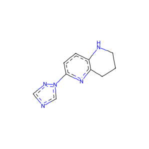 c1ncn(-c2ccc3c(n2)CCCN3)n1